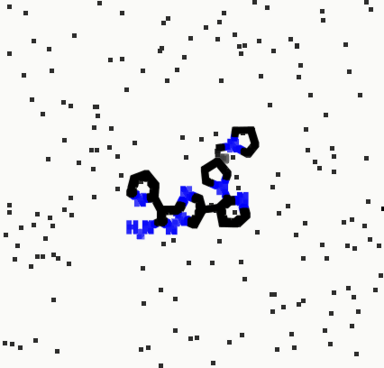 Nc1nn2cc(-c3cccnc3N3CC[C@H](CN4CCCC4)C3)cnc2c1-c1ccccn1